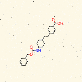 O=C(NC1CCC(CCc2ccc(C(=O)O)cc2)CC1)OCc1ccccc1